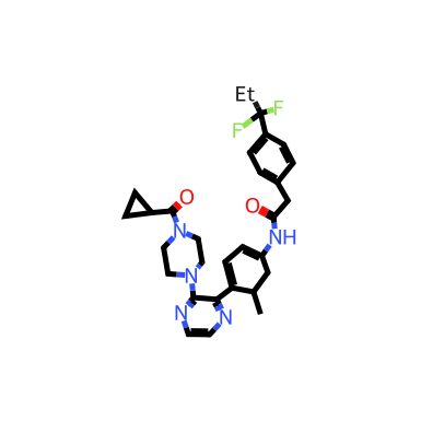 CCC(F)(F)c1ccc(CC(=O)NC2=CC=C(c3nccnc3N3CCN(C(=O)C4CC4)CC3)C(C)C2)cc1